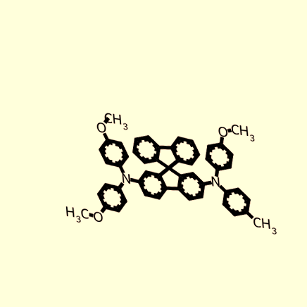 COc1ccc(N(c2ccc(C)cc2)c2ccc3c(c2)C2(c4ccccc4-c4ccccc42)c2cc(N(c4ccc(OC)cc4)c4ccc(OC)cc4)ccc2-3)cc1